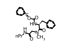 CCCNC(=O)CN(C)C(=O)[C@H](Cc1ccccc1)NC(=O)OCc1ccccc1